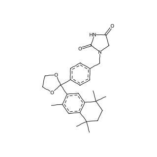 Cc1cc2c(cc1C1(c3ccc(CN4CC(=O)NC4=O)cc3)OCCO1)C(C)(C)CCC2(C)C